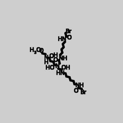 COCCNC(=O)CCC(O)N(CC(O)NCCCCCCNC(=O)CBr)CC(O)NCCCCCCNC(=O)CBr